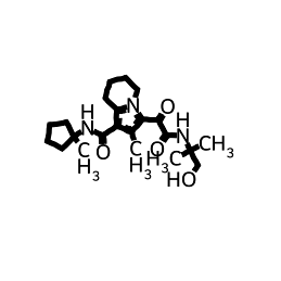 Cc1c(C(=O)NC2(C)CCCC2)c2n(c1C(=O)C(=O)NC(C)(C)CO)CCCC2